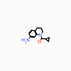 Nc1ccc2c(c1)N(C(=O)C1CC1)CCC2